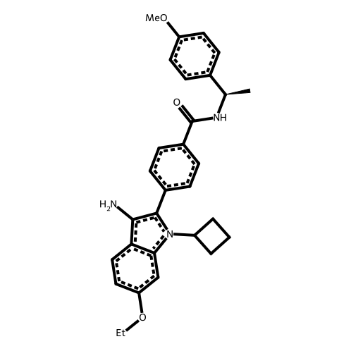 CCOc1ccc2c(N)c(-c3ccc(C(=O)N[C@H](C)c4ccc(OC)cc4)cc3)n(C3CCC3)c2c1